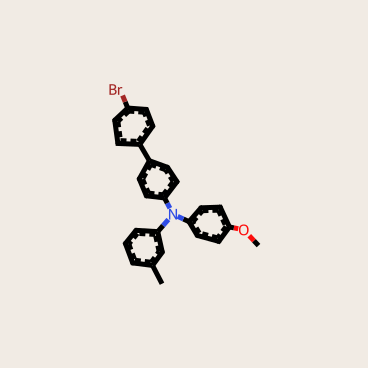 COc1ccc(N(c2ccc(-c3ccc(Br)cc3)cc2)c2cccc(C)c2)cc1